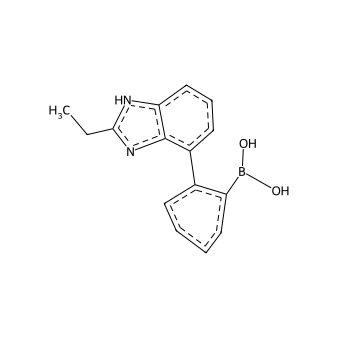 CCc1nc2c(-c3ccccc3B(O)O)cccc2[nH]1